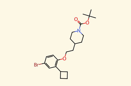 CC(C)(C)OC(=O)N1CCC(CCOc2ccc(Br)cc2C2CCC2)CC1